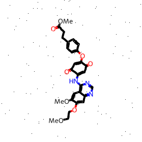 COCCOc1cc2ncnc(NC3=CC(=O)C(Oc4ccc(CCC(=O)OC)cc4)=CC3=O)c2cc1OC